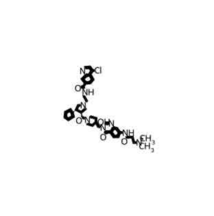 CN(C)CCC(=O)Nc1ccc2c(=O)n(CC3(O)CCN(C(=O)[C@@H]4CN(CCNC(=O)c5ccc6c(Cl)ccnc6c5)C[C@H]4c4ccccc4)CC3)cnc2c1